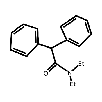 CCN(CC)C(=O)C(c1ccccc1)c1ccccc1